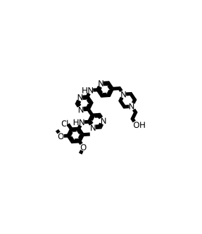 COc1cc(OC)c(Cl)c(Nc2ncncc2-c2cc(Nc3ccc(CN4CCN(CCO)CC4)cn3)ncn2)c1C